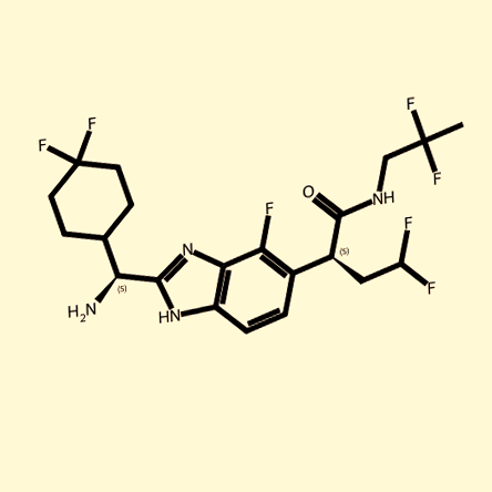 CC(F)(F)CNC(=O)[C@@H](CC(F)F)c1ccc2[nH]c([C@@H](N)C3CCC(F)(F)CC3)nc2c1F